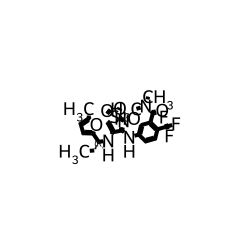 CC[C@@H](NC1=CS(=O)(=O)N=C1Nc1ccc(C(F)(F)F)c(C(=O)N(C)C)c1O)c1ccc(C)o1